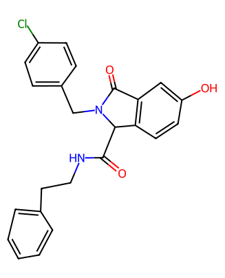 O=C(NCCc1ccccc1)C1c2ccc(O)cc2C(=O)N1Cc1ccc(Cl)cc1